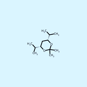 CC(C)[C@@H]1C[C@H](C(C)C)OC(C)(C)O1